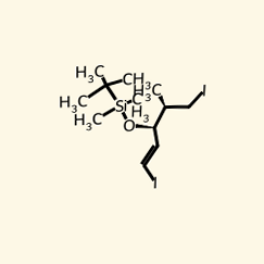 C[C@@H](CI)[C@@H](/C=C/I)O[Si](C)(C)C(C)(C)C